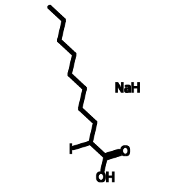 CCCCCCCCC(I)C(=O)O.[NaH]